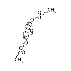 C=CCCC(=O)OCCOC12CC3CC(C1)C1(OOC14C1CC5CC4CC(OCCOC(=O)CCC=C)(C5)C1)C(C3)C2